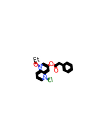 CCON1C=C(OC(=O)Cc2ccccc2)C=C2C1=CC=CN2Cl